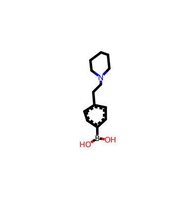 OB(O)c1ccc(CCN2CCCCC2)cc1